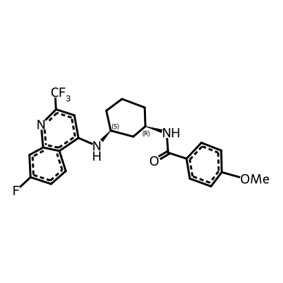 COc1ccc(C(=O)N[C@@H]2CCC[C@H](Nc3cc(C(F)(F)F)nc4cc(F)ccc34)C2)cc1